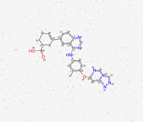 Cc1cc(Nc2ncnc3ccc(C4=CCCC(C(=O)O)C4)cc23)ccc1Oc1cc2nncn2cn1